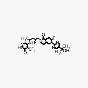 C[C@@H](C[C@H](F)Cn1ccc2cc(-c3ncc(C(C)(C)O)cn3)c(F)cc2c1=O)Nc1cn[nH]c(=O)c1C(F)(F)F